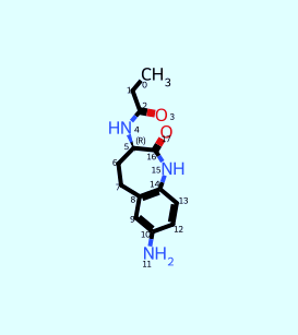 CCC(=O)N[C@@H]1CCc2cc(N)ccc2NC1=O